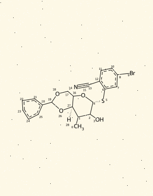 CC1C(O)[C@@H](Sc2cc(Br)ccc2C#N)OC2COC(c3ccccc3)O[C@@H]21